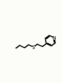 CCCCSCCc1ccncc1